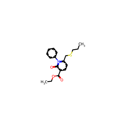 CCCSCc1ccc(C(=O)OCC)c(=O)n1-c1ccccc1